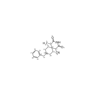 CC1C(=O)NC(=O)C(C#N)C12CCN(Cc1ccccc1)CC2